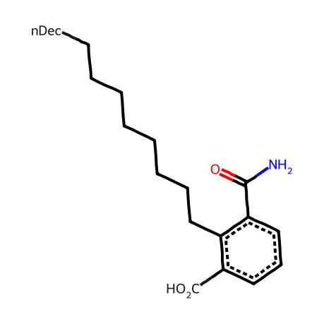 CCCCCCCCCCCCCCCCCCc1c(C(N)=O)cccc1C(=O)O